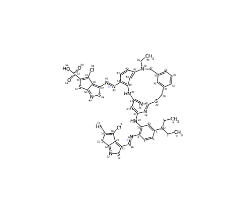 CCN(CC)c1ccc(/N=N/c2snc3sc(S)c(Cl)c23)c(Nc2nc3nc(n2)SCc2cccc(c2)CN(CC)c2ccc(/N=N/c4snc5sc(S(=O)(=O)O)c(Cl)c45)c(c2)N3)c1